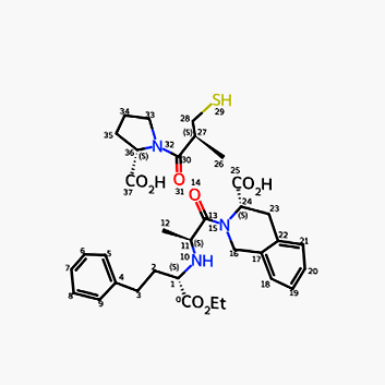 CCOC(=O)[C@H](CCc1ccccc1)N[C@@H](C)C(=O)N1Cc2ccccc2C[C@H]1C(=O)O.C[C@H](CS)C(=O)N1CCC[C@H]1C(=O)O